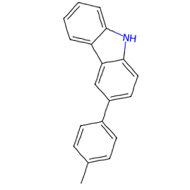 Cc1ccc(-c2ccc3[nH]c4ccccc4c3c2)cc1